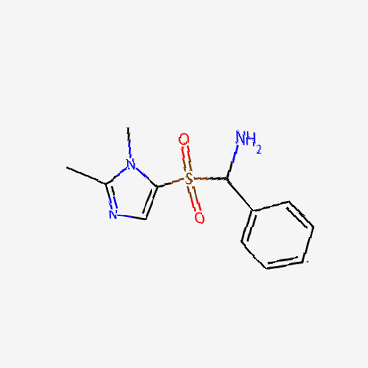 Cc1ncc(S(=O)(=O)C(N)c2cc[c]cc2)n1C